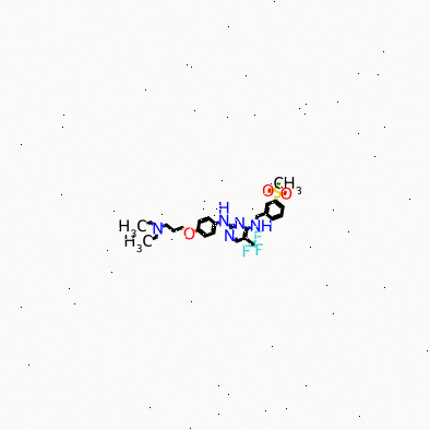 CCN(CC)CCCOc1ccc(Nc2ncc(C(F)(F)F)c(NCc3cccc(S(C)(=O)=O)c3)n2)cc1